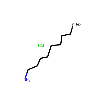 CCCCCCCCCCCCCCN.Cl